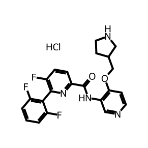 Cl.O=C(Nc1cnccc1OCC1CCNC1)c1ccc(F)c(-c2c(F)cccc2F)n1